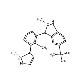 Cc1c(N2C=CN[C@@H]2C)cccc1N1c2cc(C(C)(C)C)ccc2N[C@H]1C